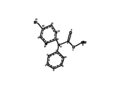 CC(C)(C)OC(=O)N(c1ccccc1)c1ncc(Br)cn1